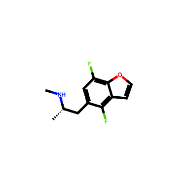 CN[C@@H](C)Cc1cc(F)c2occc2c1F